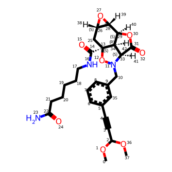 COC(C#Cc1cccc(CN2O[C@@]3(C(=O)NCCCCCC(N)=O)C[C@@H]4O[C@@H]4[C@H]4OC(=O)[C@@H]2[C@H]43)c1)OC